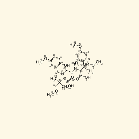 COCC(C)(C)C(C(=O)O)N(CCN(Cc1cc(OC)ccc1O)C(C(=O)O)C(C)(C)COC)Cc1cc(OC)ccc1O